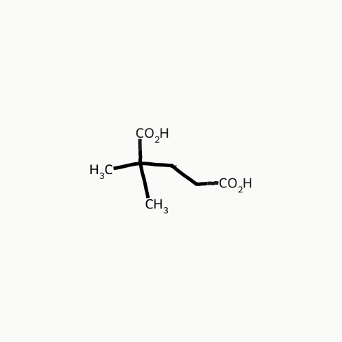 CC(C)([CH]CC(=O)O)C(=O)O